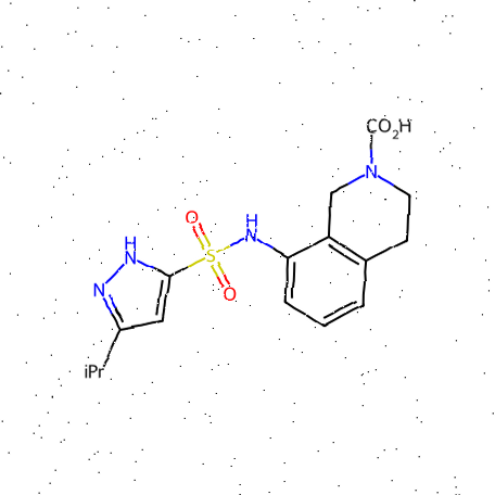 CC(C)c1cc(S(=O)(=O)Nc2cccc3c2CN(C(=O)O)CC3)[nH]n1